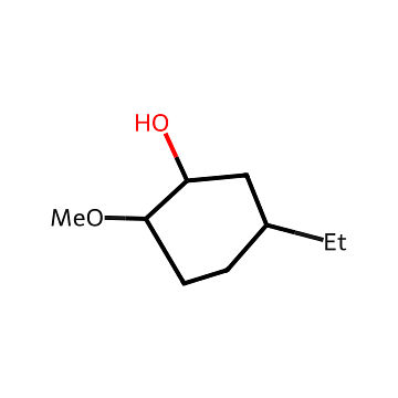 CCC1CCC(OC)C(O)C1